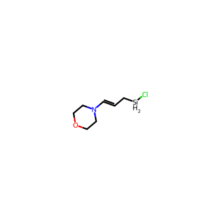 Cl[SiH2]CC=CN1CCOCC1